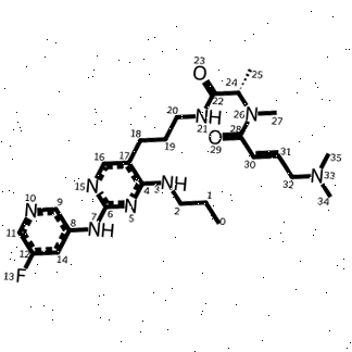 CCCNc1nc(Nc2cncc(F)c2)ncc1CCCNC(=O)[C@H](C)N(C)C(=O)/C=C/CN(C)C